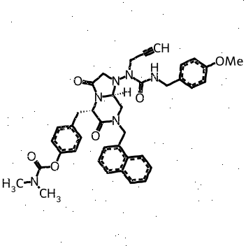 C#CCN(C(=O)NCc1ccc(OC)cc1)N1CC(=O)N2[C@@H](Cc3ccc(OC(=O)N(C)C)cc3)C(=O)N(Cc3cccc4ccccc34)C[C@@H]21